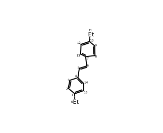 CCc1ccc(C=Cc2ccc(CC)cc2)cc1